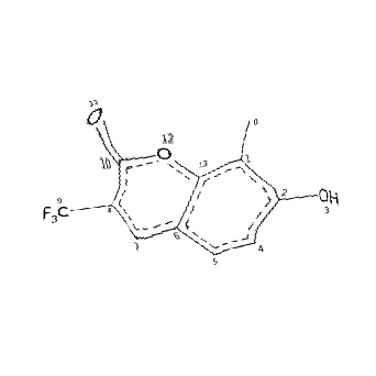 Cc1c(O)ccc2cc(C(F)(F)F)c(=O)oc12